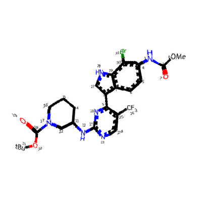 COC(=O)Nc1ccc2c(-c3nc(NC4CCCN(C(=O)OC(C)(C)C)C4)ncc3C(F)(F)F)c[nH]c2c1Br